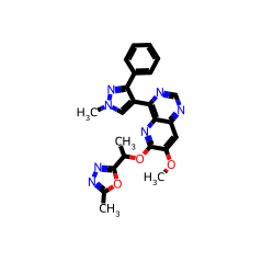 COc1cc2ncnc(-c3cn(C)nc3-c3ccccc3)c2nc1OC(C)c1nnc(C)o1